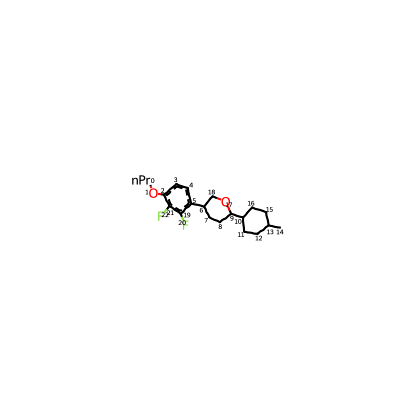 CCCOc1ccc(C2CCC(C3CCC(C)CC3)OC2)c(F)c1F